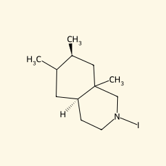 CC1C[C@@H]2CCN(I)CC2(C)C[C@@H]1C